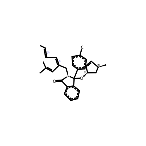 C/C=C/C=C(\C=C(C)C)CN1C(=O)c2ccccc2C1(O[C@H]1C=C[C@@H](C)C1)c1ccc(Cl)cc1